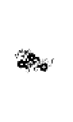 COc1cc2c(cc1OC)[C@@H](CN1C(=O)c3ccccc3C1=O)N(C(=O)C1CCCCC1C(=O)O)CC2